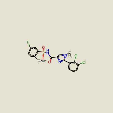 COc1ccc(F)cc1S(=O)(=O)NC(=O)c1cn(C)c(-c2cccc(Cl)c2Cl)n1